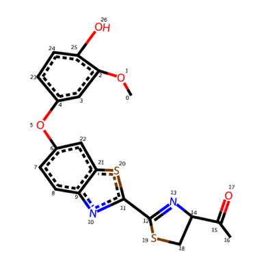 COc1cc(Oc2ccc3nc(C4=NC(C(C)=O)CS4)sc3c2)ccc1O